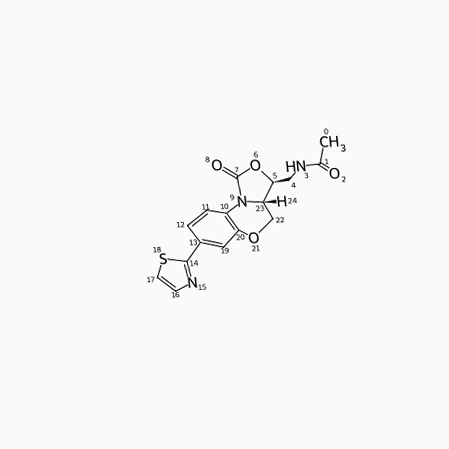 CC(=O)NC[C@@H]1OC(=O)N2c3ccc(-c4nccs4)cc3OC[C@@H]12